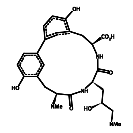 CNC[C@H](O)C[C@@H]1NC(=O)[C@@H](NC)Cc2cc(ccc2O)-c2ccc(O)c(c2)C[C@@H](C(=O)O)NC1=O